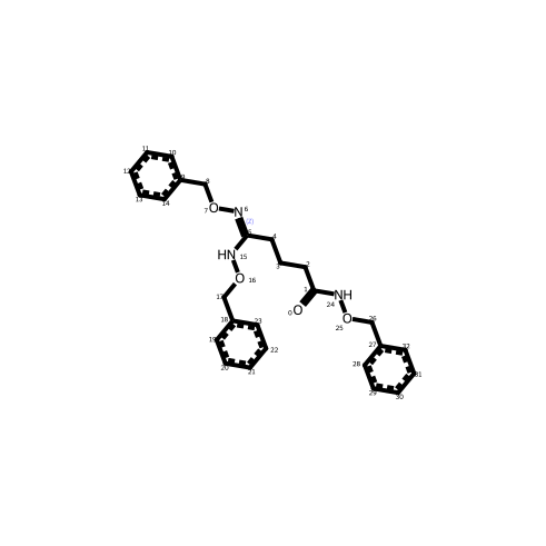 O=C(CCC/C(=N/OCc1ccccc1)NOCc1ccccc1)NOCc1ccccc1